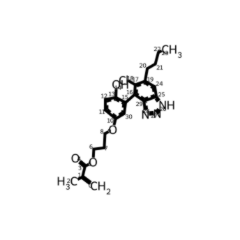 C=C(C)C(=O)OCCCOc1ccc(O)c(-c2c(Cl)c(CCCC)cc3[nH]nnc23)c1